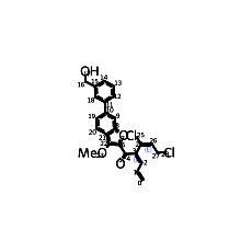 C=C/C=C(C(=O)c1oc2cc(-c3cccc(CO)c3)ccc2c1OC)/C(Cl)=C\CCl